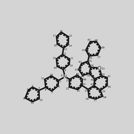 c1ccc(-c2ccc(N(c3ccc(-c4ccccc4)cc3)c3ccc(-c4cccc5ccc6oc7c(-c8ccccc8)cccc7c6c45)cc3)cc2)cc1